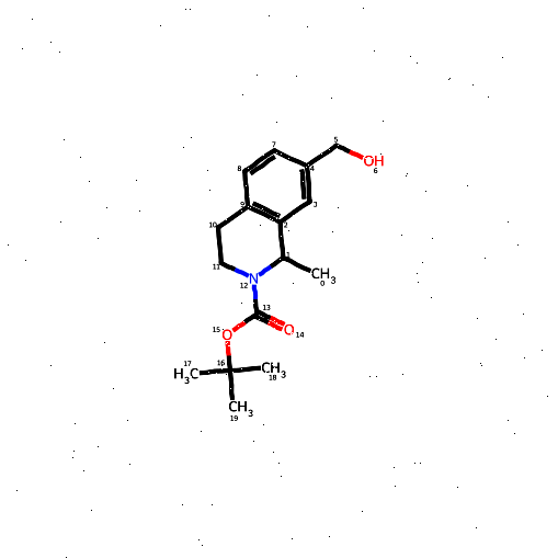 CC1c2cc(CO)ccc2CCN1C(=O)OC(C)(C)C